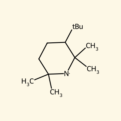 CC1(C)CCC(C(C)(C)C)C(C)(C)[N]1